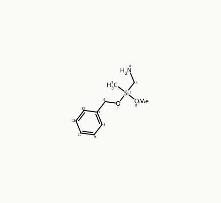 CO[Si](C)(CN)OCc1ccccc1